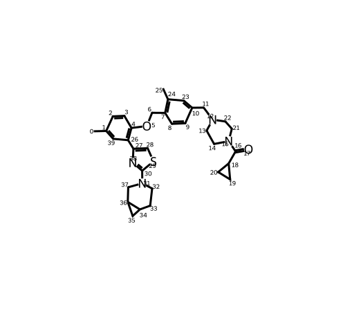 Cc1ccc(OCc2ccc(CN3CCN(C(=O)C4CC4)CC3)cc2C)c(-c2csc(N3CCC4CC4C3)n2)c1